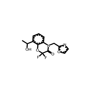 CC(O)c1cccc2c1OC(F)(F)C(=O)N2Cc1ncco1